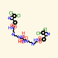 CN(CCCNC(=O)C(O)C(O)C(=O)NCCCN(C)CCCNS(=O)(=O)c1cccc(C2CN(C)Cc3c(Cl)cc(Cl)cc32)c1)CCCNS(=O)(=O)c1cccc(C2CN(C)Cc3c(Cl)cc(Cl)cc32)c1